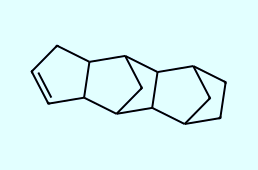 C1=CC2C(C1)C1CC2C2C3CCC(C3)C12